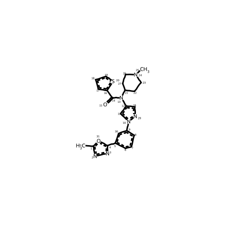 Cc1nnc(-c2cccc(-n3cc(N(C(=O)c4cccs4)C4CCN(C)CC4)cn3)c2)o1